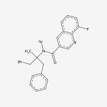 [2H]N(C(=O)c1cnc2c(F)cccc2c1)C(C)(Cc1ccccc1)CC(C)C